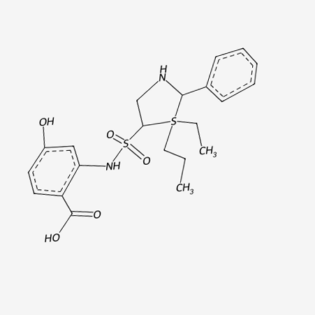 CCCS1(CC)C(c2ccccc2)NCC1S(=O)(=O)Nc1cc(O)ccc1C(=O)O